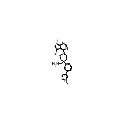 Cn1cc(-c2cccc(C3(CN)CCN(c4ncnc5[nH]cc(Br)c45)CC3)c2)cn1